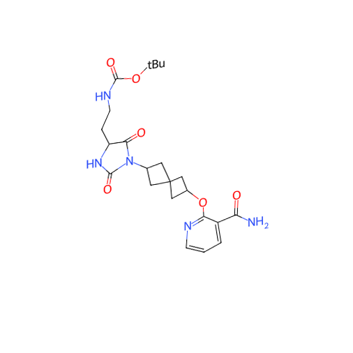 CC(C)(C)OC(=O)NCCC1NC(=O)N(C2CC3(CC(Oc4ncccc4C(N)=O)C3)C2)C1=O